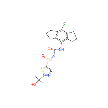 CC(C)(O)c1ncc([SH](=O)=NC(=O)Nc2c3c(c(Cl)c4c2CCC4)CCC3)s1